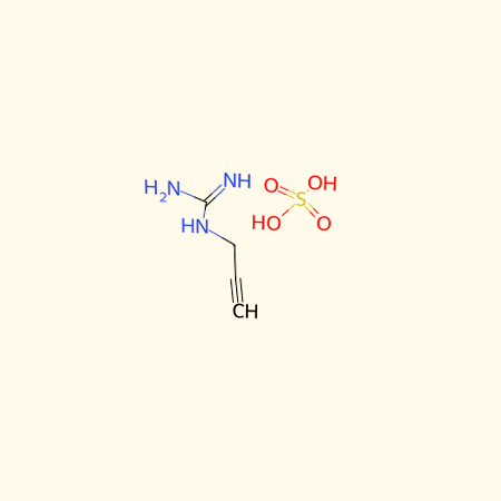 C#CCNC(=N)N.O=S(=O)(O)O